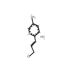 Cc1ccc(C=CCCl)nc1.Cl